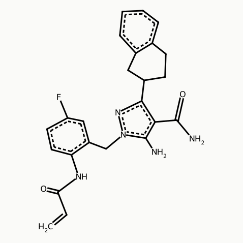 C=CC(=O)Nc1ccc(F)cc1Cn1nc(C2CCc3ccccc3C2)c(C(N)=O)c1N